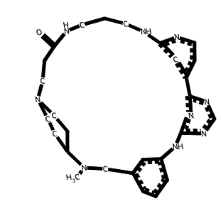 CN1Cc2cccc(c2)Nc2ncnc(n2)-c2ccnc(c2)NCCCNC(=O)CCN2CCC1CC2